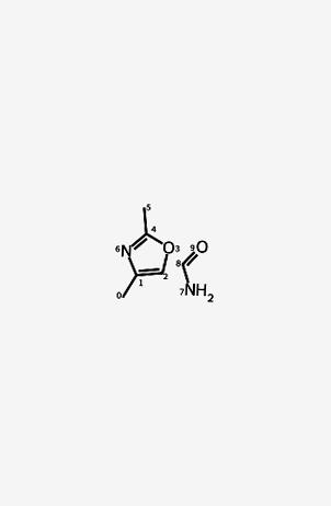 Cc1coc(C)n1.NC=O